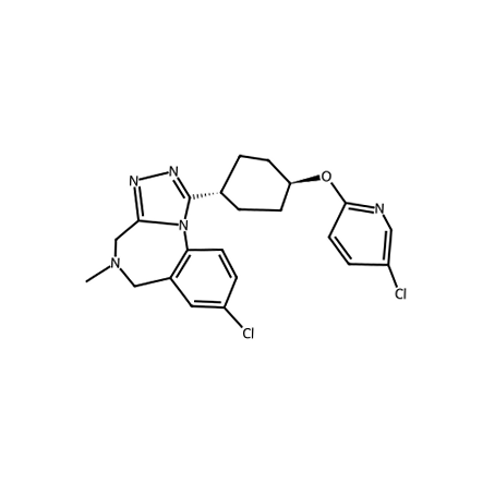 CN1Cc2cc(Cl)ccc2-n2c(nnc2[C@H]2CC[C@H](Oc3ccc(Cl)cn3)CC2)C1